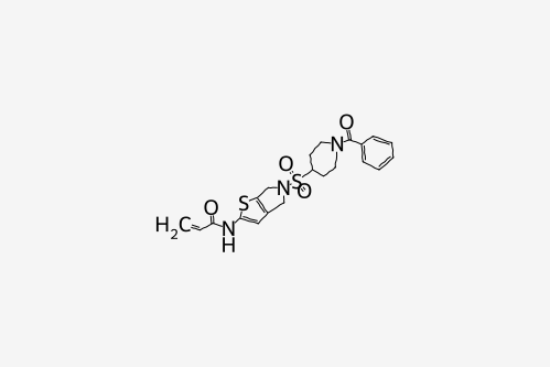 C=CC(=O)Nc1cc2c(s1)CN(S(=O)(=O)C1CCN(C(=O)c3ccccc3)CC1)C2